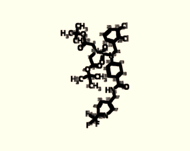 CC(C)(C)OC(=O)CN(CC(=O)OC(C)(C)C)S(=O)(=O)N(Cc1cccc(Cl)c1Cl)c1ccc(C(=O)NCc2ccc(C(F)(F)F)nc2)cc1